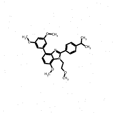 COCCn1c(-c2ccc(C(C)C)cc2)nc2c(-c3cc(OC)cc(OC)c3)ccc(OC)c21